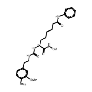 COc1ccc(CCNC(=O)N[C@@H](CCCCCC(=O)Nc2ccccc2)C(=O)NO)cc1OC